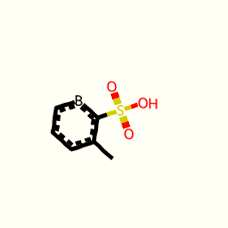 Cc1cccbc1S(=O)(=O)O